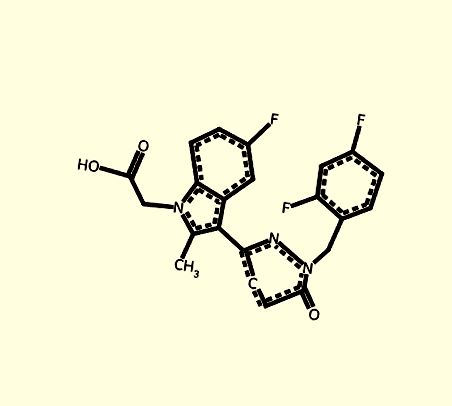 Cc1c(-c2ccc(=O)n(Cc3ccc(F)cc3F)n2)c2cc(F)ccc2n1CC(=O)O